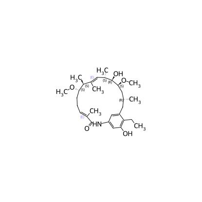 CCc1c(O)cc2cc1C[C@@H](C)C[C@H](OC)[C@H](O)[C@@H](C)/C=C(\C)[C@H](C)[C@@H](OC)CC/C=C(\C)C(=O)N2